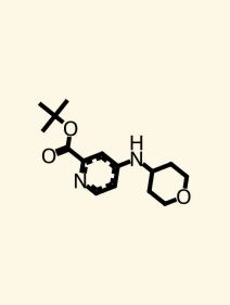 CC(C)(C)OC(=O)c1cc(NC2CCOCC2)ccn1